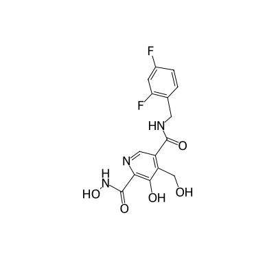 O=C(NCc1ccc(F)cc1F)c1cnc(C(=O)NO)c(O)c1CO